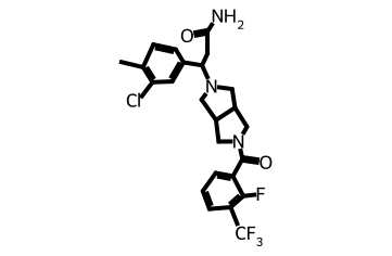 Cc1ccc(C(CC(N)=O)N2CC3CN(C(=O)c4cccc(C(F)(F)F)c4F)CC3C2)cc1Cl